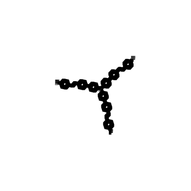 Fc1ccc(/C=C/c2ccc(-c3ccc(N(c4ccc(-c5ccc(/C=C/c6ccc(F)cc6)cc5)cc4)c4ccc(-c5ccc(/C=C/c6ccc(F)cc6)cc5)cc4)cc3)cc2)cc1